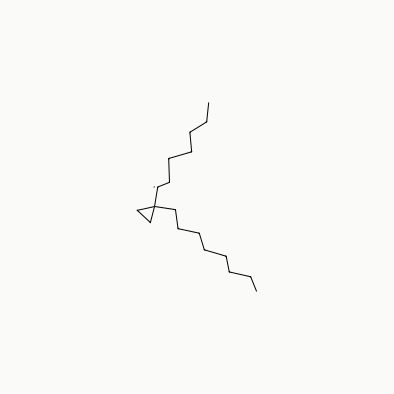 CCCCCC[CH]C1(CCCCCCCC)CC1